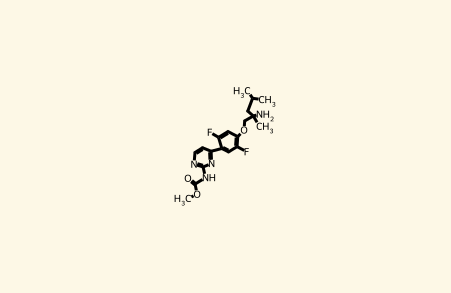 COC(=O)Nc1nccc(-c2cc(F)c(OCC(C)(N)CC(C)C)cc2F)n1